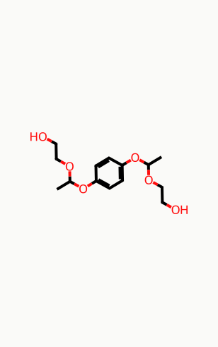 CC(OCCO)Oc1ccc(OC(C)OCCO)cc1